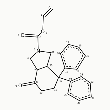 C=COC(=O)N1CC2C(=O)CCC(c3ccccc3)(c3ccccc3)C2C1